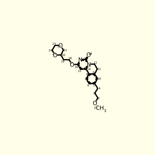 COCCCc1ccc2c(c1)CCn1c-2cc(OCCC2COCCO2)nc1=O